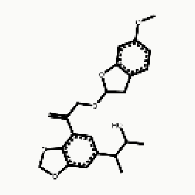 C=C(COC1Cc2ccc(OC)cc2O1)c1cc(C(C)C(C)O)cc2c1OCO2